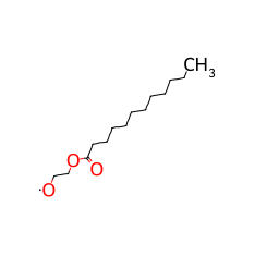 CCCCCCCCCCCC(=O)OCC[O]